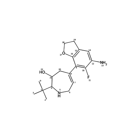 CC(C)(C)C1NCC=C(c2c(F)c(N)cc3c2OCC3)CC1O